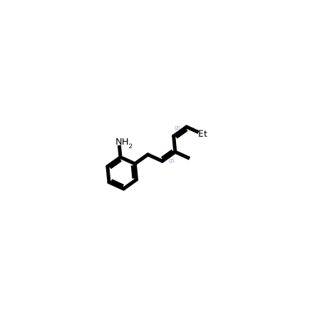 CC/C=C\C(C)=C/Cc1ccccc1N